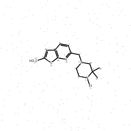 CCN1CCN(Cc2ccc3cc(C(=O)O)sc3n2)CC1(C)C